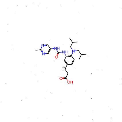 Cc1ncc(NC(=O)Nc2cc([C@@H](C)CC(=O)O)ccc2N(CC(C)C)CC(C)C)cn1